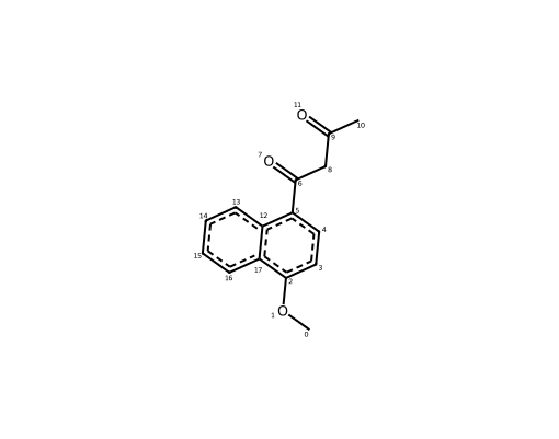 COc1ccc(C(=O)CC(C)=O)c2ccccc12